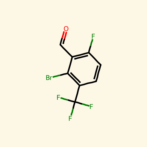 O=Cc1c(F)ccc(C(F)(F)F)c1Br